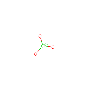 [O][Cl+2]([O-])[O-]